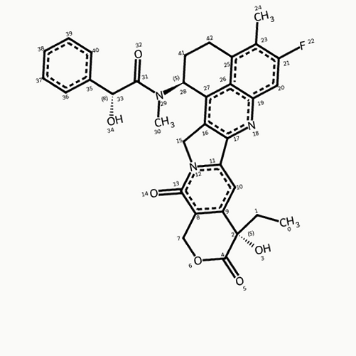 CC[C@@]1(O)C(=O)OCc2c1cc1n(c2=O)Cc2c-1nc1cc(F)c(C)c3c1c2[C@@H](N(C)C(=O)[C@H](O)c1ccccc1)CC3